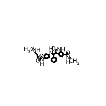 CCNC(=O)c1ccc2c(c1)NC(=O)/C2=C(\Nc1ccc(NS(=O)(=O)CCCNC)cc1)c1ccccc1